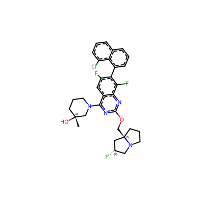 C[C@@]1(O)CCCN(c2nc(OC[C@@]34CCCN3C[C@H](F)C4)nc3c(F)c(-c4cccc5cccc(Cl)c45)c(F)cc23)C1